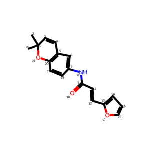 CC1(C)C=Cc2cc(NC(=O)/C=C/c3ccco3)ccc2O1